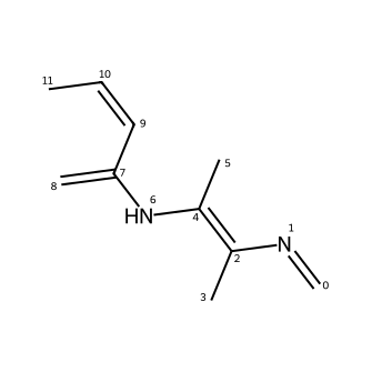 C=N/C(C)=C(\C)NC(=C)/C=C\C